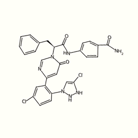 NC(=O)c1ccc(NC(=O)[C@H](Cc2ccccc2)n2cnc(-c3cc(Cl)ccc3N3C=C(Cl)NN3)cc2=O)cc1